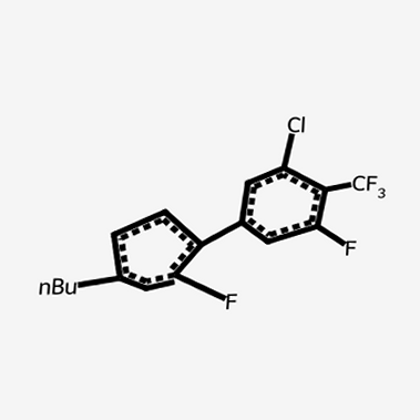 CCCCc1ccc(-c2cc(F)c(C(F)(F)F)c(Cl)c2)c(F)c1